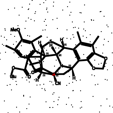 COc1c(C)cc2c(c1C)[C@@H]1[C@@H]3[C@@H]4SCC(NC(=O)OC(C)(C)C)C(=O)OC[C@@H](c5c6c(c(C)c(C)c54)OCO6)N3[C@@H](C#N)[C@H](C2)N1C